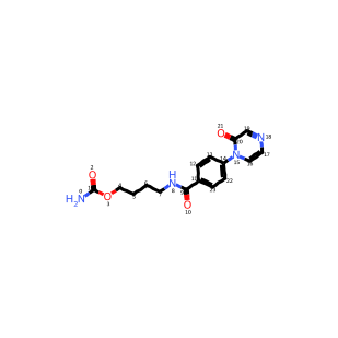 NC(=O)OCC[CH]CNC(=O)c1ccc(-n2ccncc2=O)cc1